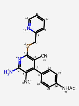 [C-]#[N+]c1c(N)nc(SCc2ccccn2)c(C#N)c1-c1ccc(NC(C)=O)cc1